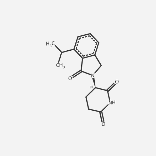 CC(C)c1cccc2c1C(=O)N([C@@H]1CCC(=O)NC1=O)C2